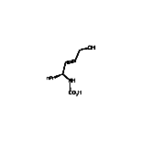 CCC[C@@H](/C=C/CO)NC(=O)O